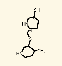 CC1CCNCC1SC[C@@H]1CC[C@H](S)CN1